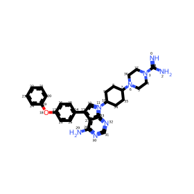 N=C(N)N1CCN(C2CCC(n3cc(-c4ccc(Oc5ccccc5)cc4)c4c(N)ncnc43)CC2)CC1